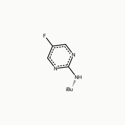 CC[C@@H](C)Nc1ncc(F)cn1